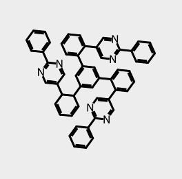 C1=CC(c2cnc(-c3ccccc3)nc2)C(c2cc(-c3ccccc3-c3cnc(-c4ccccc4)nc3)cc(-c3ccccc3-c3cnc(-c4ccccc4)nc3)c2)C=C1